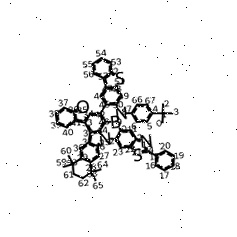 CC(C)(C)c1ccc(N2B3c4cc5nc(-c6ccccc6)sc5cc4-n4c5cc6c(cc5c5c7c(oc8ccccc87)c(c3c54)-c3cc4c(cc32)sc2ccccc24)C(C)(C)CCC6(C)C)cc1